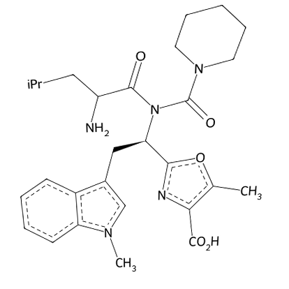 Cc1oc([C@@H](Cc2cn(C)c3ccccc23)N(C(=O)C(N)CC(C)C)C(=O)N2CCCCC2)nc1C(=O)O